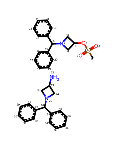 CS(=O)(=O)OC1CN(C(c2ccccc2)c2ccccc2)C1.NC1CN(C(c2ccccc2)c2ccccc2)C1